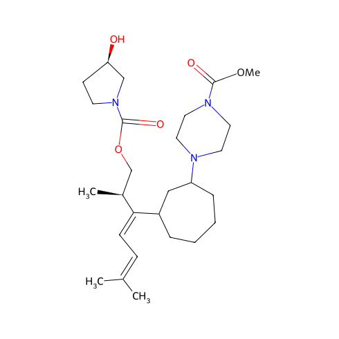 COC(=O)N1CCN(C2CCCCC(/C(=C\C=C(C)C)[C@@H](C)COC(=O)N3CC[C@@H](O)C3)C2)CC1